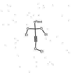 CCCCCC(C#COCC)(OCC)OCC